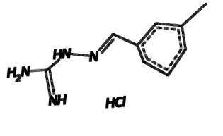 Cc1cccc(/C=N/NC(=N)N)c1.Cl